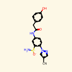 N#Cc1cnn(-c2ccc(NC(=O)Cc3ccc(O)cc3)cc2[S+](N)[O-])c1